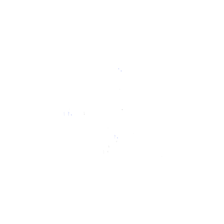 CCCCN(C)c1cc(N)cc(C#N)c1